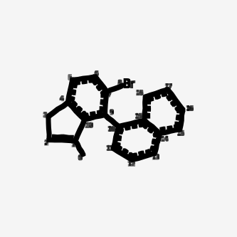 CC1=CCc2ccc(Br)c(-c3cccc4ccccc34)c21